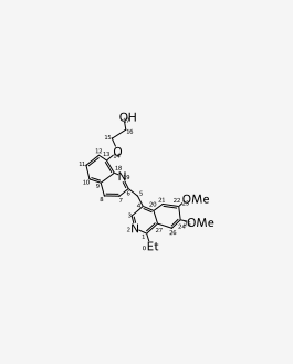 CCc1ncc(Cc2ccc3cccc(OCCO)c3n2)c2cc(OC)c(OC)cc12